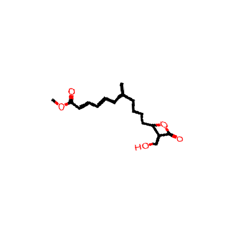 COC(=O)C=CC=CCC(C)CCCCC1OC(=O)C1CO